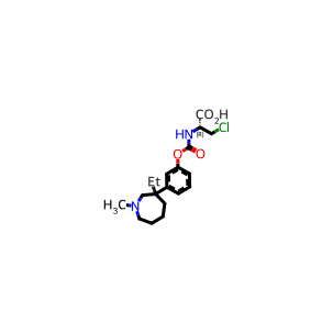 CCC1(c2cccc(OC(=O)N[C@@H](CCl)C(=O)O)c2)CCCCN(C)C1